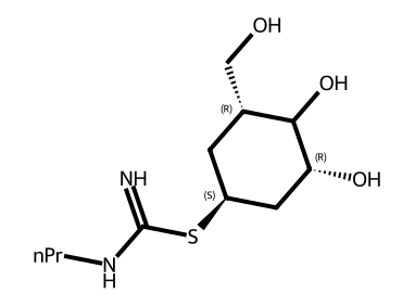 CCCNC(=N)S[C@H]1C[C@H](CO)C(O)[C@H](O)C1